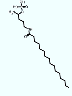 CCCCCCCCCCCCCCCCCC(=O)NCCCC(N)OP(=O)(O)O